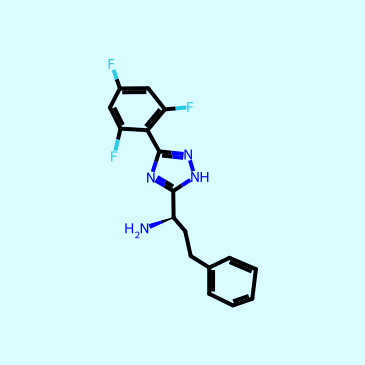 N[C@H](CCc1ccccc1)c1nc(-c2c(F)cc(F)cc2F)n[nH]1